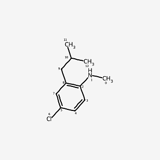 CNc1ccc(Cl)cc1CC(C)C